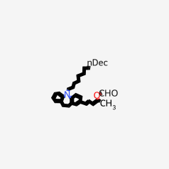 CCCCCCCCCCCCCCCCCCN1c2ccccc2CCc2cc(/C=C/C=C(/C)OC=O)ccc21